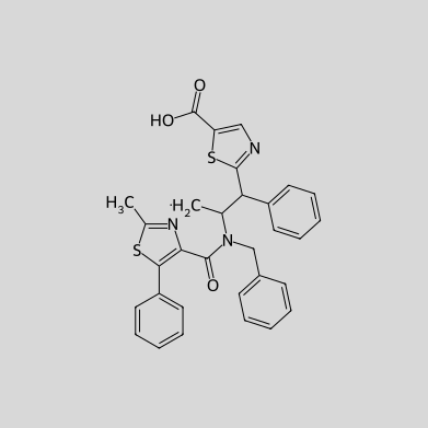 [CH2]C(C(c1ccccc1)c1ncc(C(=O)O)s1)N(Cc1ccccc1)C(=O)c1nc(C)sc1-c1ccccc1